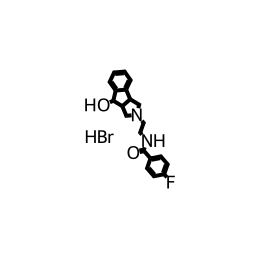 Br.O=C(NCCN1CC2c3ccccc3C(O)C2C1)c1ccc(F)cc1